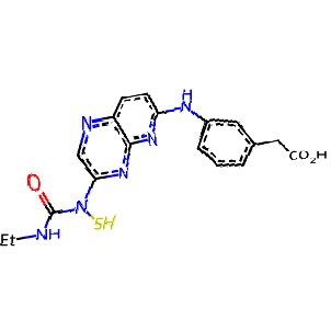 CCNC(=O)N(S)c1cnc2ccc(Nc3cccc(CC(=O)O)c3)nc2n1